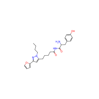 CCCCn1nc(-c2ccco2)cc1CCCCC(=O)NC(=O)C(N)Cc1ccc(O)cc1